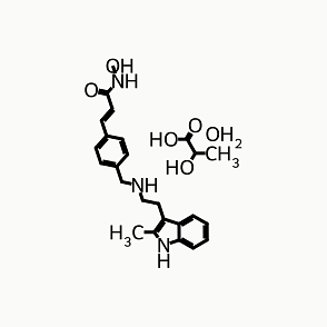 CC(O)C(=O)O.Cc1[nH]c2ccccc2c1CCNCc1ccc(C=CC(=O)NO)cc1.O